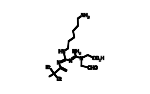 C=C(/N=C(\N=C(/N)N(CC=O)CC(=O)O)NCCCCCCN)C(C)(CC)CC